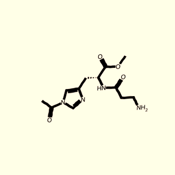 COC(=O)[C@@H](Cc1cn(C(C)=O)cn1)NC(=O)CCN